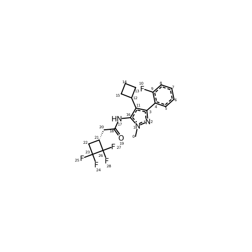 Cn1nc(-c2ccccc2F)c(C2CCC2)c1NC(=O)C[C@H]1CC(F)(F)C1(F)F